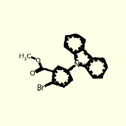 COC(=O)c1cc(-n2c3ccccc3c3ccccc32)ccc1Br